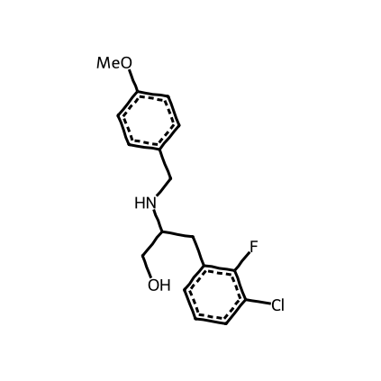 COc1ccc(CNC(CO)Cc2cccc(Cl)c2F)cc1